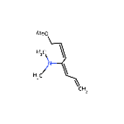 C=C/C=C(\C=C/COC)N(C)C